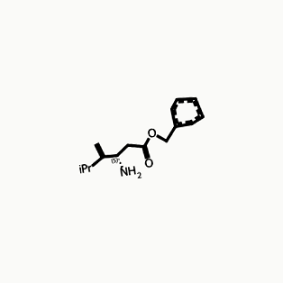 C=C(C(C)C)[C@@H](N)CC(=O)OCc1ccccc1